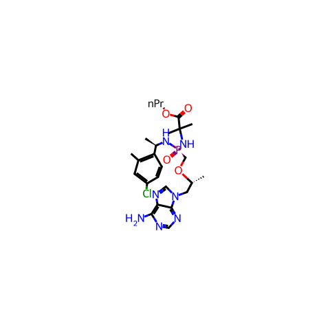 CCCOC(=O)C(C)(C)N[P@@](=O)(CO[C@H](C)Cn1cnc2c(N)ncnc21)N[C@H](C)c1ccc(Cl)cc1C